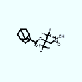 O=C(OC(CS(=O)(=O)O)(C(F)(F)F)C(F)(F)F)C12CC3CC(CC1C3)C2